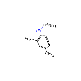 CCCCCNc1ccc(C)cc1C